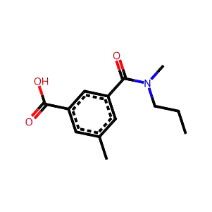 CCCN(C)C(=O)c1cc(C)cc(C(=O)O)c1